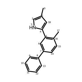 Cc1c[nH]c(-c2cc(-c3ccccc3)ccc2C)c1